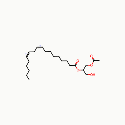 CCCCC/C=C\C/C=C\CCCCCCCC(=O)OC(CO)COC(C)=O